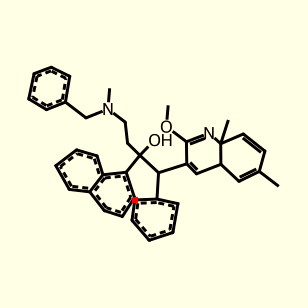 COC1=NC2(C)C=CC(C)=CC2C=C1C(c1ccccc1)C(O)(CCN(C)Cc1ccccc1)c1cccc2ccccc12